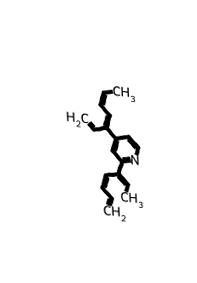 C=C/C=C\C(=C/C)c1cc(/C(C=C)=C/C=C\C)ccn1